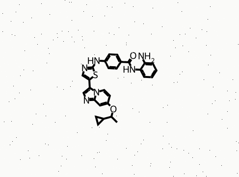 CC(Oc1ccn2c(-c3cnc(Nc4ccc(C(=O)Nc5ccccc5N)cc4)s3)cnc2c1)C1CC1